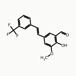 COc1cc(/C=C/c2cccc(C(F)(F)F)c2)cc(C=O)c1O